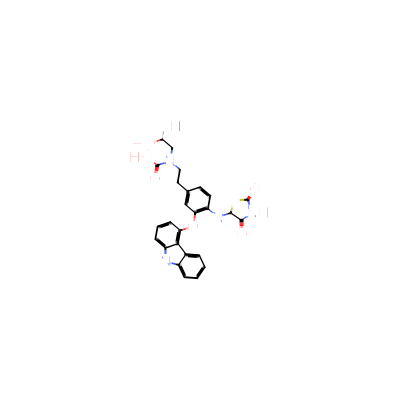 C[C@H](O)CN(CCc1ccc(NC2SC(=O)NC2=O)c(Oc2cccc3[nH]c4ccccc4c23)c1)C(=O)O